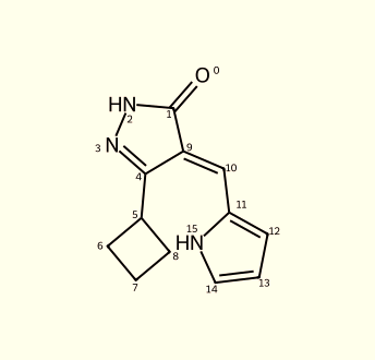 O=C1NN=C(C2CCC2)/C1=C\c1ccc[nH]1